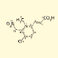 Cc1c(C=CC(=O)O)ccc(Cl)c1C[N+](=O)[O-]